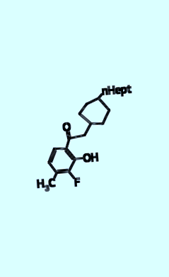 CCCCCCCC1CCC(CC(=O)c2ccc(C)c(F)c2O)CC1